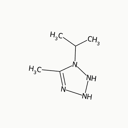 CC1=NNNN1C(C)C